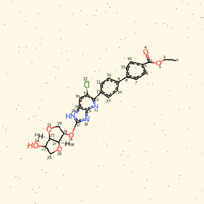 CCOC(=O)c1ccc(-c2ccc(-c3nc4nc(O[C@@H]5CO[C@@H]6C(O)CO[C@@H]65)[nH]c4cc3Cl)cc2)cc1